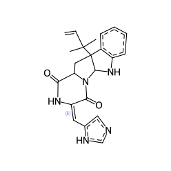 C=CC(C)(C)C12CC3C(=O)N/C(=C/c4cnc[nH]4)C(=O)N3C1Nc1ccccc12